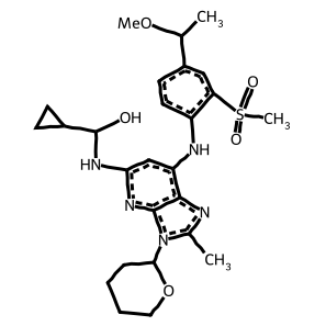 COC(C)c1ccc(Nc2cc(NC(O)C3CC3)nc3c2nc(C)n3C2CCCCO2)c(S(C)(=O)=O)c1